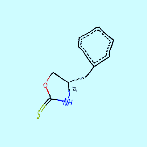 S=C1N[C@@H](Cc2ccccc2)CO1